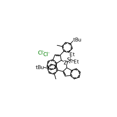 CC[Si](CC)=[Zr+2]([CH]1C(c2ccc(C(C)(C)C)cc2C)=Cc2ccccc21)[CH]1C(c2ccc(C(C)(C)C)cc2C)=Cc2ccccc21.[Cl-].[Cl-]